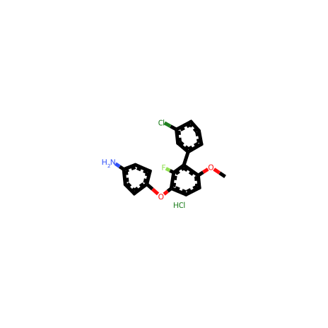 COc1ccc(Oc2ccc(N)cc2)c(F)c1-c1cccc(Cl)c1.Cl